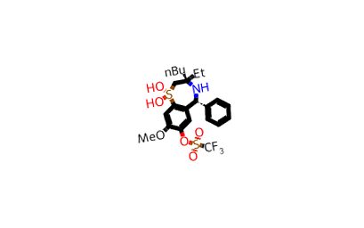 CCCC[C@]1(CC)CS(O)(O)c2cc(OC)c(OS(=O)(=O)C(F)(F)F)cc2[C@@H](c2ccccc2)N1